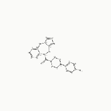 O=C(C1CCN(c2ccc(F)cc2)CC1)N1Cc2cccn2Cc2ccccc21